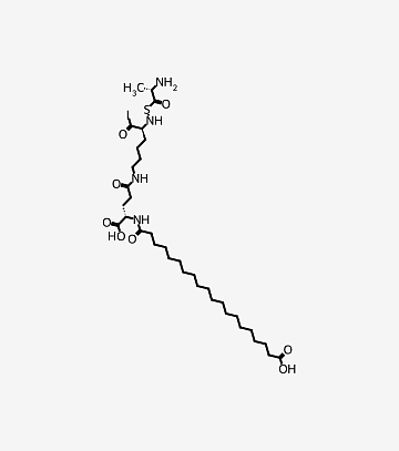 C[C@H](N)C(=O)SN[C@@H](CCCCNC(=O)CC[C@H](NC(=O)CCCCCCCCCCCCCCCCCCC(=O)O)C(=O)O)C(=O)I